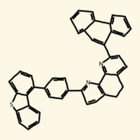 c1ccc2c(c1)cc(-c1ccc3c(n1)-c1nc(-c4ccc(-c5cccc6sc7ccccc7c56)cc4)ccc1CC3)c1ccccc12